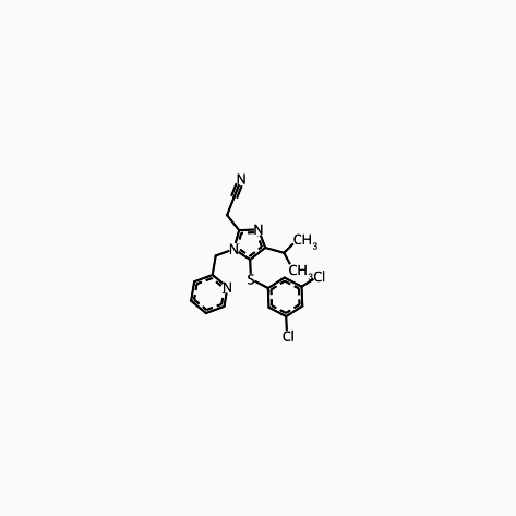 CC(C)c1nc(CC#N)n(Cc2ccccn2)c1Sc1cc(Cl)cc(Cl)c1